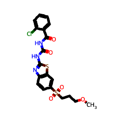 COCCCS(=O)(=O)c1ccc2nc(NC(=O)NC(=O)c3ccccc3Cl)sc2c1